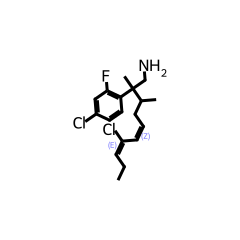 CC/C=C(Cl)\C=C/CC(C)C(C)(CN)c1ccc(Cl)cc1F